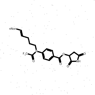 CCCCCCCCCC=CCCCN(C(=O)C(F)(F)F)c1ccc(C(=O)OC2CC(=O)NC2=O)cc1